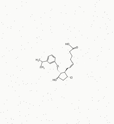 CC(C)c1cccc(OC[C@@H]2[C@@H](C/C=C\CCCC(=O)O)[C@H](Cl)C[C@H]2O)c1